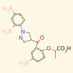 Bc1ccc(N2CC(C(=O)c3cc(B)ccc3OC(C)C(=O)O)C=N2)c(B)c1